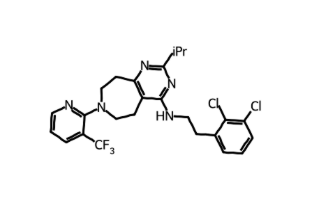 CC(C)c1nc2c(c(NCCc3cccc(Cl)c3Cl)n1)CCN(c1ncccc1C(F)(F)F)CC2